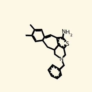 CC1=CC2=Cc3c(N)sc4c3C(CC2C=C1C)CN(Cc1ccccc1)C4